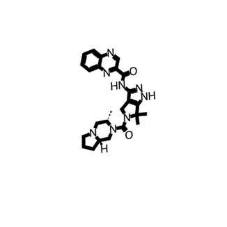 C[C@H]1CN2CCC[C@H]2CN1C(=O)N1Cc2c(NC(=O)c3cnc4ccccc4n3)n[nH]c2C1(C)C